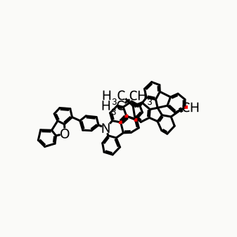 C#CC1CC=CC2=C1C1(c3cc(C(C)(C)C)ccc32)c2ccccc2-c2cccc(-c3ccc4cc(N(c5ccc(-c6cccc7c6oc6ccccc67)cc5)c5ccccc5-c5ccccc5)ccc4c3)c21